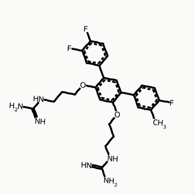 Cc1cc(-c2cc(-c3ccc(F)c(F)c3)c(OCCCNC(=N)N)cc2OCCCNC(=N)N)ccc1F